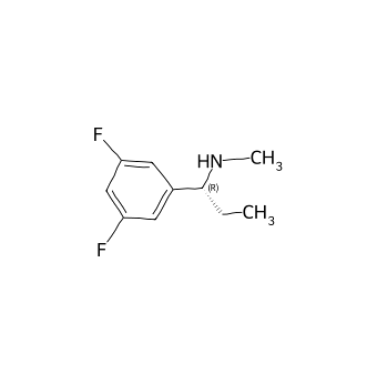 CC[C@@H](NC)c1cc(F)cc(F)c1